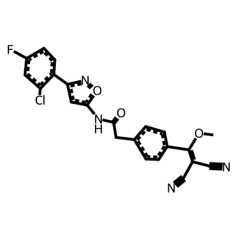 COC(=C(C#N)C#N)c1ccc(CC(=O)Nc2cc(-c3ccc(F)cc3Cl)no2)cc1